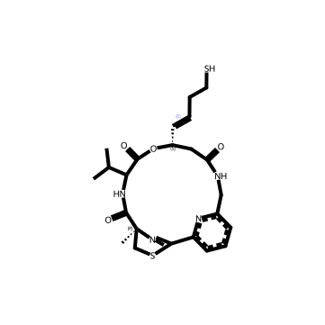 CC(C)C1NC(=O)[C@]2(C)CSC(=N2)c2cccc(n2)CNC(=O)C[C@@H](/C=C/CCS)OC1=O